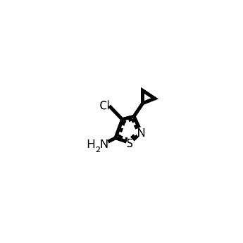 Nc1snc(C2CC2)c1Cl